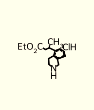 CCOC(=O)CC(C)c1cccc2c1CCNC2.Cl